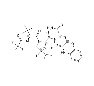 CC(C)(C)[C@H](NC(=O)C(F)(F)F)C(=O)N1C[C@H]2[C@@H]([C@H]1C(=O)N[C@@H](C[C@H]1Oc3ccncc3NC1=O)C(N)=O)C2(C)C